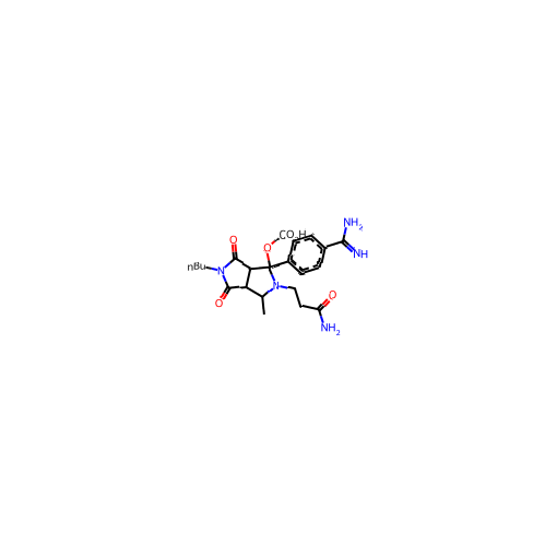 CCCCN1C(=O)C2C(C)N(CCC(N)=O)C(OC(=O)O)(c3ccc(C(=N)N)cc3)C2C1=O